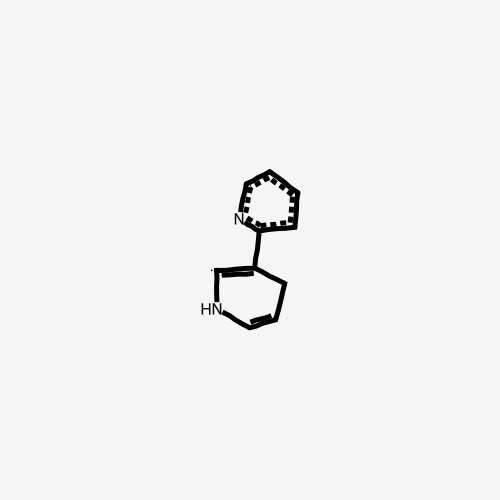 [C]1=C(c2ccccn2)CC=CN1